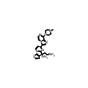 CN1CCN(c2nccn3c(-c4ccnc(C(N)(CCN)c5ccsc5)n4)cnc23)CC1